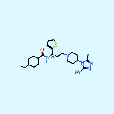 CCC1CCC(C(=O)N[C@@H](CCN2CCC(n3c(C)nnc3C(C)C)CC2)c2cccs2)CC1